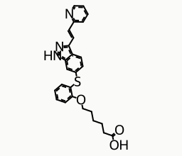 O=C(O)CCCCCOc1ccccc1Sc1ccc2c(C=Cc3ccccn3)n[nH]c2c1